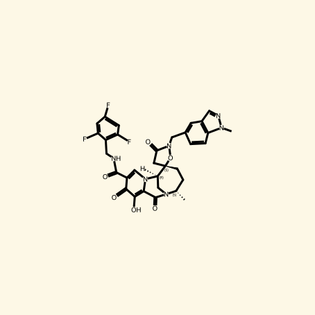 C[C@H]1CC[C@]2(CC(=O)N(Cc3ccc4c(cnn4C)c3)O2)[C@H]2CN1C(=O)c1c(O)c(=O)c(C(=O)NCc3c(F)cc(F)cc3F)cn12